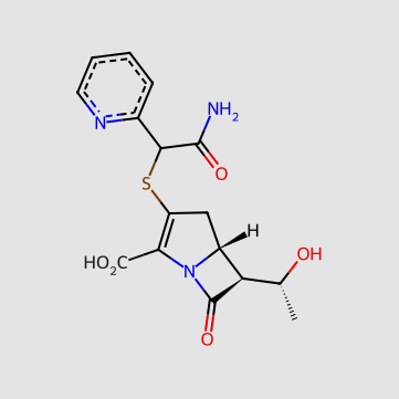 C[C@@H](O)[C@H]1C(=O)N2C(C(=O)O)=C(SC(C(N)=O)c3ccccn3)C[C@H]12